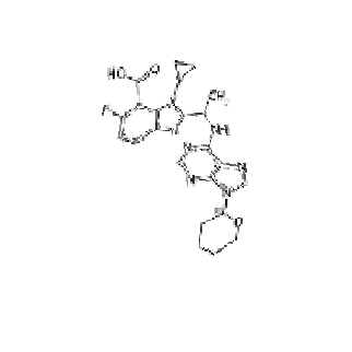 CC(Nc1ncnc2c1ncn2[C@@H]1CCCCO1)c1nc2ccc(F)c(C(=O)O)c2n1C1CC1